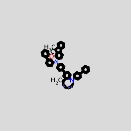 C=C1/C=C\C=C/CN(c2ccc(-c3ccccc3)cc2)c2ccc(-c3ccc(N(c4ccc5c(c4)C(C)(C)c4ccccc4-5)c4cccc5c4oc4ccccc45)cc3)cc21